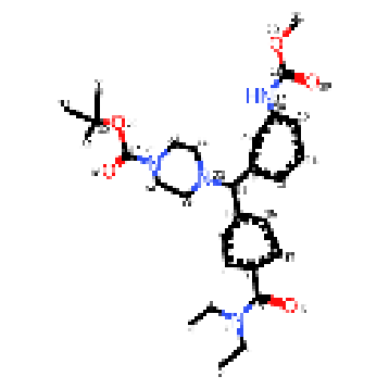 CCN(CC)C(=O)c1ccc(C(c2cccc(NC(=O)OC)c2)N2CCN(C(=O)OC(C)(C)C)CC2)cc1